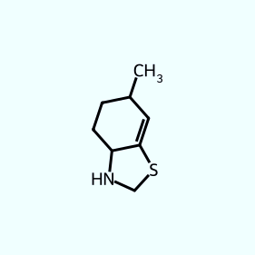 CC1C=C2SCNC2CC1